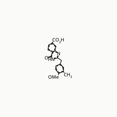 COc1ccc(Cc2nc3cc(C(=O)O)ccc3c(=O)[nH]2)cc1C